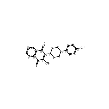 C=C1C(O)=C([C@H]2CC[C@H](c3ccc(Cl)cc3)CC2)C(=O)c2ccccc21